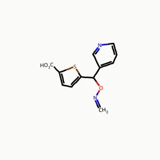 C=NOC(c1cccnc1)c1ccc(C(=O)O)s1